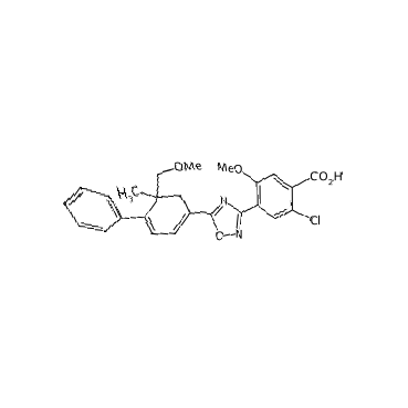 COCC1(C)CC(c2nc(-c3cc(Cl)c(C(=O)O)cc3OC)no2)=CC=C1c1ccccc1